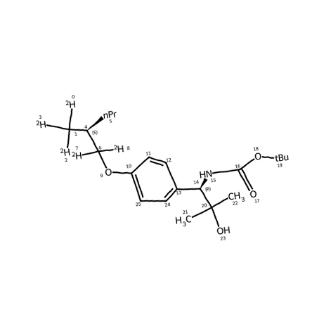 [2H]C([2H])([2H])[C@@H](CCC)C([2H])([2H])Oc1ccc([C@@H](NC(=O)OC(C)(C)C)C(C)(C)O)cc1